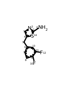 Nc1ncc(Cc2ccc(F)c(F)c2)s1